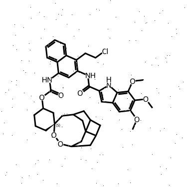 COc1cc2cc(C(=O)Nc3cc(NC(=O)OC4CCC[C@]5(CC6CC7CC8CC(CC78C6)OO5)C4)c4ccccc4c3CCCl)[nH]c2c(OC)c1OC